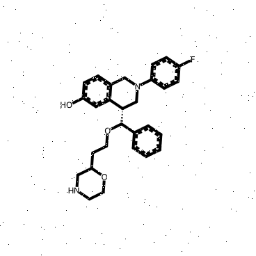 Oc1ccc2c(c1)[C@@H](C(OCCC1CNCCO1)c1ccccc1)CN(c1ccc(F)cc1)C2